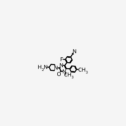 Cc1ccc(-c2c(-c3ccc(C#N)cc3F)nc(N3CCC(N)CC3)c(=O)n2C)cc1